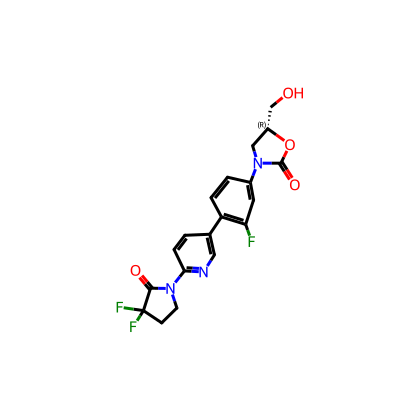 O=C1O[C@@H](CO)CN1c1ccc(-c2ccc(N3CCC(F)(F)C3=O)nc2)c(F)c1